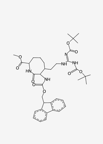 COC(=O)C1CCCC(CCNC(=NC(=O)OC(C)(C)C)NC(=O)OC(C)(C)C)C(NC(=O)OCC2c3ccccc3-c3ccccc32)C(=O)N1